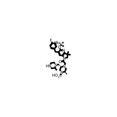 CC1CNCCN1C[C@H]1CN(C(=O)O)[C@H](C)CN1CC(=O)N1CC(C)(C)c2nc(O[Si](C)(C)C(C)(C)C)c(Cc3ccc(F)cc3)cc21